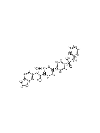 O=C(C(O)c1ccc2c(c1)OCO2)N1CCN(c2ccc(S(=O)(=O)Nc3ccncn3)cc2)CC1